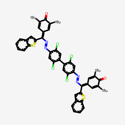 CC(C)(C)C1=CC(=C(/N=N/c2cc(Cl)c(-c3cc(Cl)c(/N=N/C(=C4C=C(C(C)(C)C)C(=O)C(C(C)(C)C)=C4)c4cc5ccccc5s4)cc3Cl)cc2Cl)c2cc3ccccc3s2)C=C(C(C)(C)C)C1=O